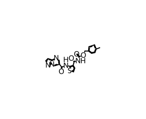 Cc1ccc(COC(=O)NC(=O)c2ccsc2NC(=O)c2cnc3ccnn3c2)cc1